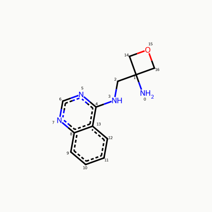 NC1(CNc2ncnc3ccccc23)COC1